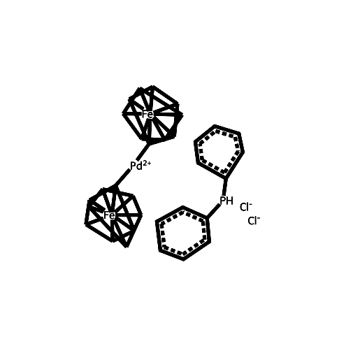 [Cl-].[Cl-].[Pd+2]([C]12[CH]3[CH]4[CH]5[CH]1[Fe]45321678[CH]2[CH]1[CH]6[CH]7[CH]28)[C]12[CH]3[CH]4[CH]5[CH]1[Fe]45321678[CH]2[CH]1[CH]6[CH]7[CH]28.c1ccc(Pc2ccccc2)cc1